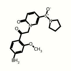 Bc1ccc(C(=O)Cn2cc([S+]([O-])N3CCCC3)ccc2=O)c(OC)c1